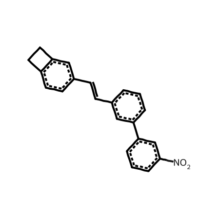 O=[N+]([O-])c1cccc(-c2cccc(/C=C/c3ccc4c(c3)CC4)c2)c1